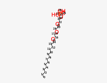 CCCCCCCCCCCCCCCOCCOCCOCCOP(=O)(O)O